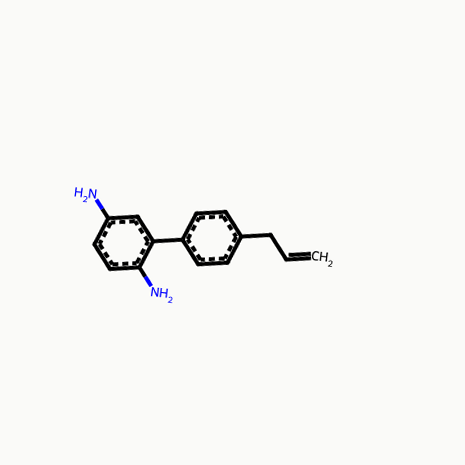 C=CCc1ccc(-c2cc(N)ccc2N)cc1